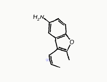 C/C=C\c1c(C)oc2ccc(N)cc12